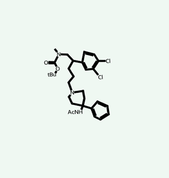 CC(=O)NC1(c2ccccc2)CCN(CCCC(CN(C)C(=O)OC(C)(C)C)c2ccc(Cl)c(Cl)c2)CC1